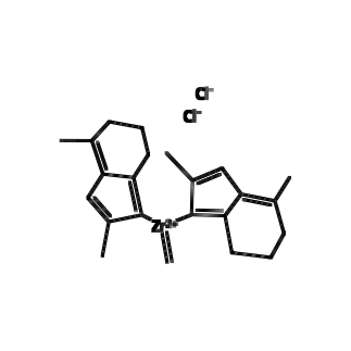 [CH2]=[Zr+2]([C]1=C2CCCC(C)=C2C=C1C)[C]1=C2CCCC(C)=C2C=C1C.[Cl-].[Cl-]